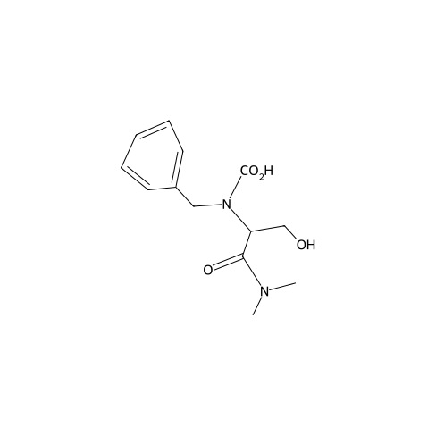 CN(C)C(=O)C(CO)N(Cc1ccccc1)C(=O)O